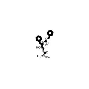 CC(C)[C@](Cc1ccccc1)(NC(=O)OCc1ccccc1)[C@H](O)COC(=O)N(N)C(C)(C)C